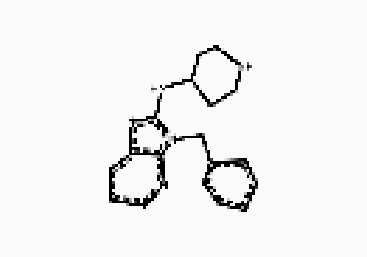 c1ccc(Cn2c(NC3CCNCC3)nc3cccnc32)cc1